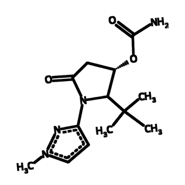 Cn1ccc(N2C(=O)C[C@H](OC(N)=O)C2C(C)(C)C)n1